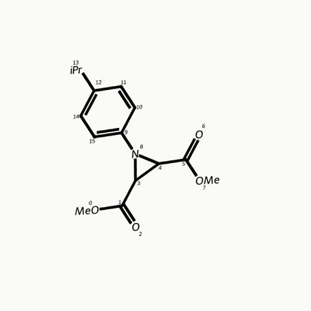 COC(=O)C1C(C(=O)OC)N1c1ccc(C(C)C)cc1